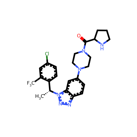 C[C@H](c1ccc(Cl)cc1C(F)(F)F)n1nnc2ccc(N3CCN(C(=O)C4CCCN4)CC3)cc21